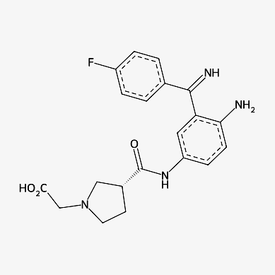 N=C(c1ccc(F)cc1)c1cc(NC(=O)[C@@H]2CCN(CC(=O)O)C2)ccc1N